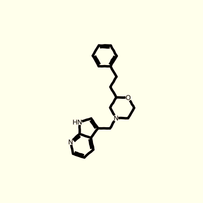 c1ccc(CCC2CN(Cc3c[nH]c4ncccc34)CCO2)cc1